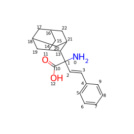 NC(C=Cc1ccccc1)(C(=O)O)C1C2CC3CC(C2)CC1C3